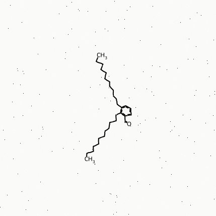 CCCCCCCCCCCCc1cccc(C=O)c1CCCCCCCCCCCC